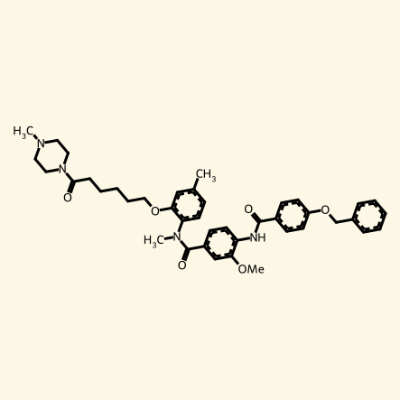 COc1cc(C(=O)N(C)c2ccc(C)cc2OCCCCCC(=O)N2CCN(C)CC2)ccc1NC(=O)c1ccc(OCc2ccccc2)cc1